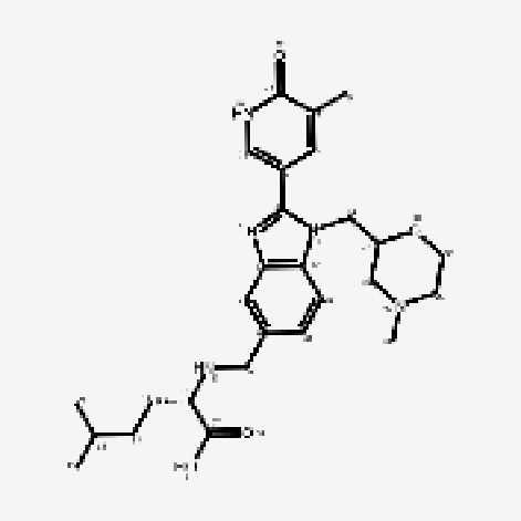 Cc1cc(-c2nc3cc(CN[C@@H](CCC(C)C)C(=O)O)ccc3n2CC2CN(C)CCO2)c[nH]c1=O